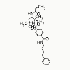 C=CC(=O)NC1CC(C)(C)N(S(=O)(=O)c2ccc(C(=O)NCCCCc3ccccc3)cc2)C1(C)C